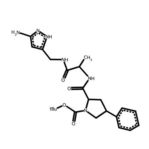 CC(NC(=O)C1CC(c2ccccc2)CN1C(=O)OC(C)(C)C)C(=O)NCc1cc(N)n[nH]1